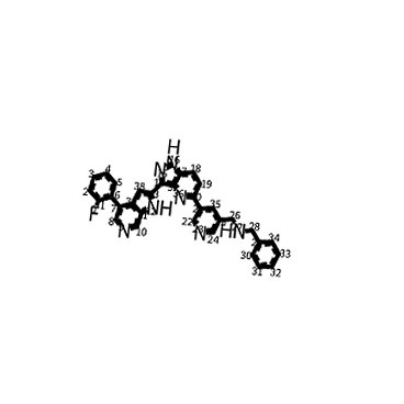 Fc1ccccc1-c1cncc2[nH]c(-c3n[nH]c4ccc(-c5cncc(CNCc6ccccc6)c5)nc34)cc12